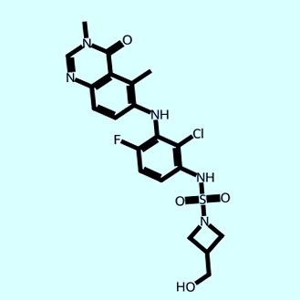 Cc1c(Nc2c(F)ccc(NS(=O)(=O)N3CC(CO)C3)c2Cl)ccc2ncn(C)c(=O)c12